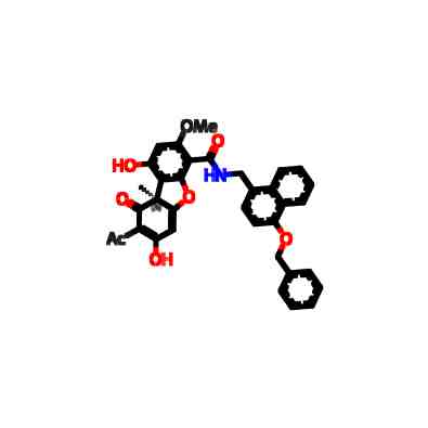 COc1cc(O)c2c(c1C(=O)NCc1ccc(OCc3ccccc3)c3ccccc13)OC1=CC(O)=C(C(C)=O)C(=O)[C@]12C